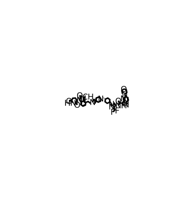 Cn1c(=O)n(C2CCC(=O)NC2=O)c2cccc(CCN3CC4(CCN(C[C@H]5CC[C@H](n6cc(NC(=O)c7cnn8ccc(N9CCOCC9)nc78)c(C(F)F)n6)CC5)CC4)C3)c21